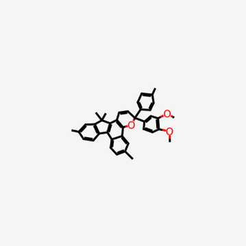 COc1ccc(C2(c3ccc(C)cc3)C=Cc3c4c(c5ccc(C)cc5c3O2)-c2ccc(C)cc2C4(C)C)cc1OC